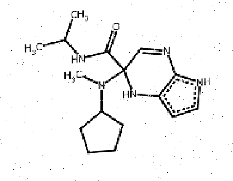 CC(C)NC(=O)C1(N(C)C2CCCC2)C=Nc2[nH]ccc2N1